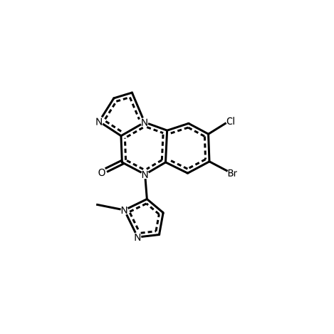 Cn1nccc1-n1c(=O)c2nccn2c2cc(Cl)c(Br)cc21